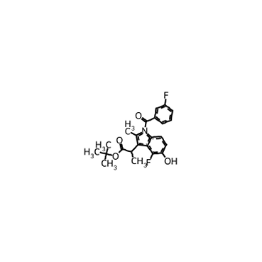 Cc1c(C(C)C(=O)OC(C)(C)C)c2c(F)c(O)ccc2n1C(=O)c1cccc(F)c1